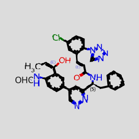 C/C=C(/O)c1cc(-c2cnnc([C@H](Cc3ccccc3)NC(=O)/C=C/c3cc(Cl)ccc3-n3cnnn3)c2)ccc1NC=O